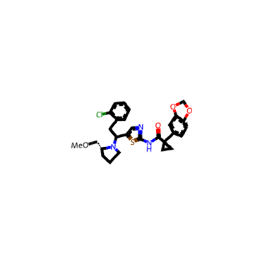 COC[C@H]1CCCN1C(Cc1ccccc1Cl)c1cnc(NC(=O)C2(c3ccc4c(c3)OCO4)CC2)s1